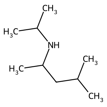 CC(C)CC(C)NC(C)C